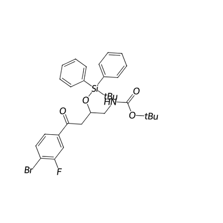 CC(C)(C)OC(=O)NCC(CC(=O)c1ccc(Br)c(F)c1)O[Si](c1ccccc1)(c1ccccc1)C(C)(C)C